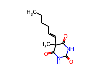 CCCC/C=C/C1(C)C(=O)NC(=O)NC1=O